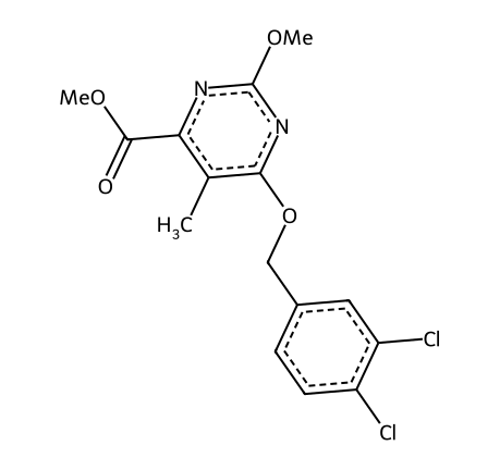 COC(=O)c1nc(OC)nc(OCc2ccc(Cl)c(Cl)c2)c1C